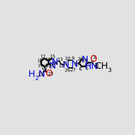 CNC(=O)c1ccc(N2CCN(CCn3cc4cccc(C(N)=O)c4n3)CC2)cn1